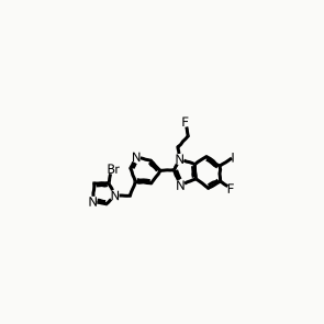 FCCn1c(-c2cncc(Cn3cncc3Br)c2)nc2cc(F)c(I)cc21